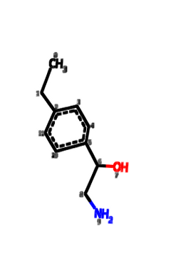 CCc1ccc(C(O)CN)cc1